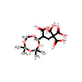 C[Si]1(C)O[SiH2]O[SiH](C(CC(C(=O)O)(C(=O)O)C(=O)O)C(=O)O)O[Si](C)(C)O1